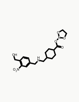 O=C(ON1OCCO1)C1CCC(CNCc2ccc(CO)c([N+](=O)[O-])c2)CC1